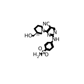 N#Cc1cnc(Nc2ccc(S(N)(=O)=O)cc2)nc1N1CCC[C@H](CO)C1